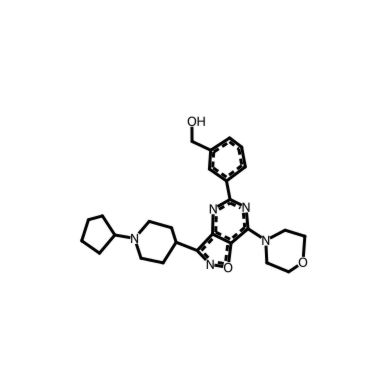 OCc1cccc(-c2nc(N3CCOCC3)c3onc(C4CCN(C5CCCC5)CC4)c3n2)c1